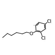 CCCCCCOc1[c]cc(Cl)cc1Cl